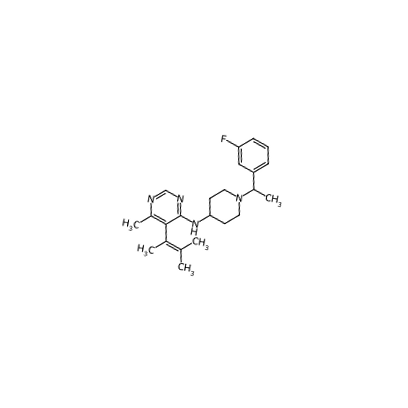 CC(C)=C(C)c1c(C)ncnc1NC1CCN(C(C)c2cccc(F)c2)CC1